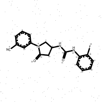 N#Cc1cccc(N2CC(NC(=O)Nc3ccccc3F)CC2=O)c1